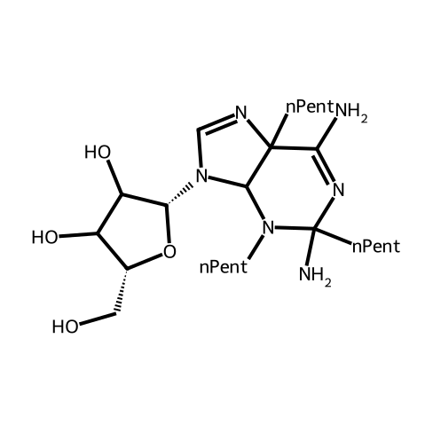 CCCCCN1C2N([C@@H]3O[C@H](CO)C(O)C3O)C=NC2(CCCCC)C(N)=NC1(N)CCCCC